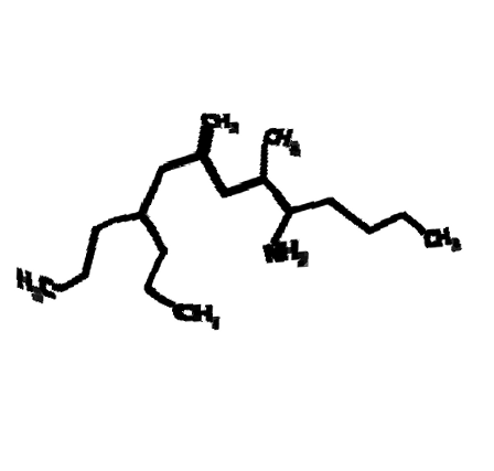 C=C(CC(CCC)CCC)CC(C)C(N)CCCC